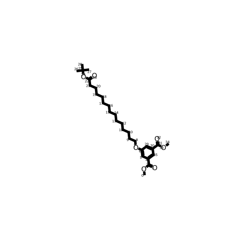 COC(=O)c1cc(OCCCCCCCCCCCCCCC(=O)OC(C)(C)C)cc(C(=O)OC)c1